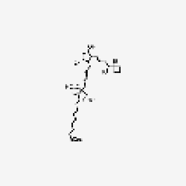 CCCCCCCCCCCCCCCCCCN(C)C(CC=O)(CCC=CC[C@@H]1[C@@H](C=CC[C@H](O)C2(CC)CCC2)[C@H](O)C[C@H]1Cl)C(=O)O